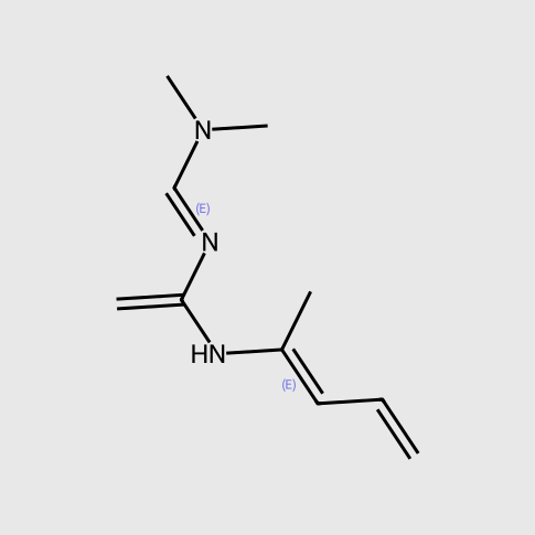 C=C/C=C(\C)NC(=C)/N=C/N(C)C